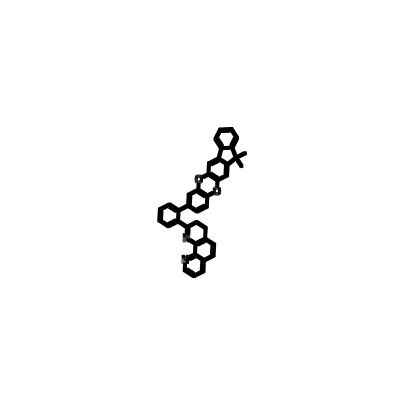 CC1(C)c2ccccc2-c2cc3c(cc21)Oc1ccc(-c2ccccc2C2=Nc4c(ccc5cccnc45)CC2)cc1O3